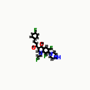 O=C(/C=C/c1ccc(F)cc1)c1cn(CCF)c2c(F)c(N3CCNCC3)c(F)cc2c1=O